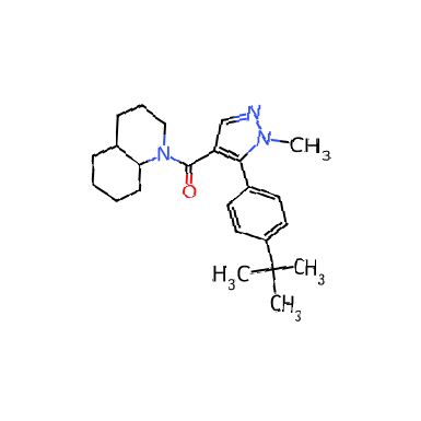 Cn1ncc(C(=O)N2CCCC3CCCCC32)c1-c1ccc(C(C)(C)C)cc1